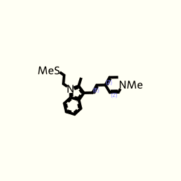 C/C=C(\C=C/NC)/C=C/c1c(C)n(CCSC)c2ccccc12